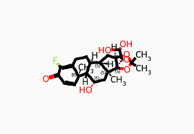 CC1(C)O[C@@H]2C[C@H]3[C@@H]4CCC5=C(F)C(=O)C=C[C@]5(C)[C@H]4[C@@H](O)C[C@]3(C)[C@]2(C(=O)C(O)O)O1